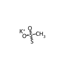 CS(=O)([O-])=S.[K+]